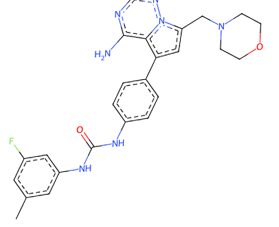 Cc1cc(F)cc(NC(=O)Nc2ccc(-c3cc(CN4CCOCC4)n4ncnc(N)c34)cc2)c1